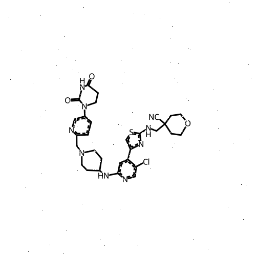 N#CC1(CNc2nc(-c3cc(NC4CCN(Cc5ccc(N6CCC(=O)NC6=O)cn5)CC4)ncc3Cl)cs2)CCOCC1